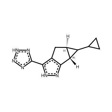 C1CC1C1[C@@H]2Cc3c(n[nH]c3-c3nn[nH]n3)[C@@H]12